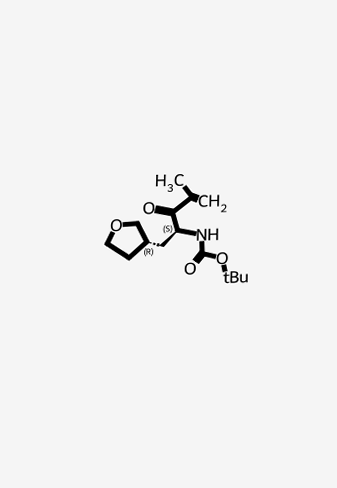 C=C(C)C(=O)[C@H](C[C@@H]1CCOC1)NC(=O)OC(C)(C)C